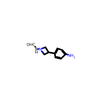 Nc1ccc(C2CN(BC=O)C2)cc1